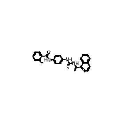 CC(NC(=S)Nc1ccc(NC(=O)c2ccccc2F)cc1)c1nccc2ccccc12